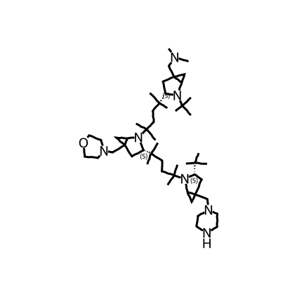 CN(C)CC12CC1N(C(C)(C)C)[C@H](C(C)(C)CCC(C)(C)N1C3CC3(CN3CCOCC3)C[C@H]1C(C)(C)CCC(C)(C)N1C3CC3(CN3CCNCC3)C[C@H]1C(C)(C)C)C2